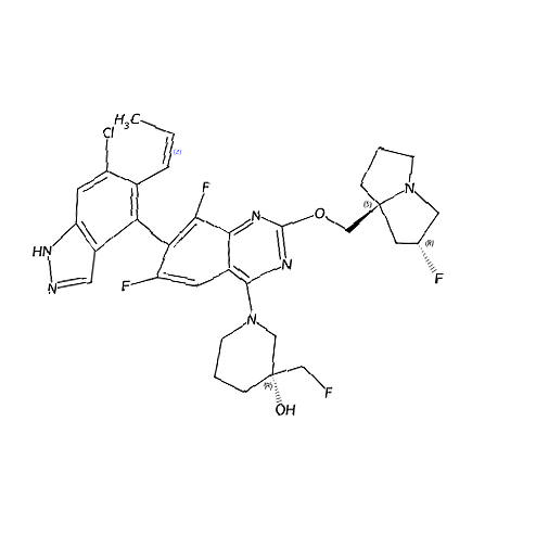 C/C=C\c1c(Cl)cc2[nH]ncc2c1-c1c(F)cc2c(N3CCC[C@](O)(CF)C3)nc(OC[C@@]34CCCN3C[C@H](F)C4)nc2c1F